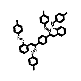 Cc1ccc(N=NC(=Cc2ccccc2N=Nc2ccc(C)cc2)c2ccc(C(=Cc3ccccc3N=Nc3ccc(C)cc3)N=Nc3ccc(C)cc3)cc2)cc1